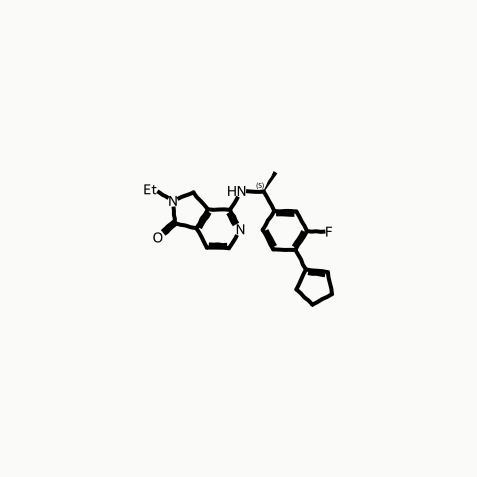 CCN1Cc2c(ccnc2N[C@@H](C)c2ccc(C3=CCCC3)c(F)c2)C1=O